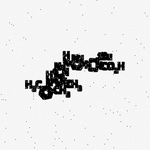 Cc1cccc(C)c1Nc1nn(C)c2nc(Nc3ccc(N4CCN(C(=O)O)C(C(C)(C)C)C4)nn3)ncc12